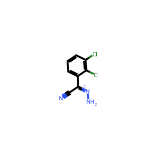 N#C/C(=N\N)c1cccc(Cl)c1Cl